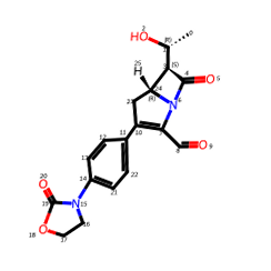 C[C@@H](O)[C@H]1C(=O)N2C(C=O)=C(c3ccc(N4CCOC4=O)cc3)C[C@H]12